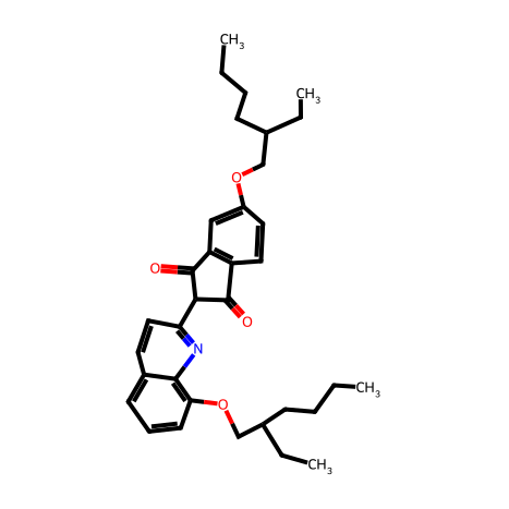 CCCCC(CC)COc1ccc2c(c1)C(=O)C(c1ccc3cccc(OCC(CC)CCCC)c3n1)C2=O